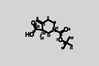 C=C1CCN(C(=O)OC(C)(C)C)C[C@@]1(C)C(=O)O